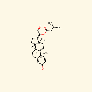 CC(C)CC(=O)O/C(C=O)=C1/CC[C@H]2[C@@H]3CCC4=CC(=O)C=C[C@]4(C)C3=CC[C@]12C